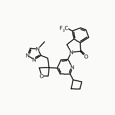 Cn1cnnc1CC1(c2cc(C3CCC3)nc(N3Cc4c(cccc4C(F)(F)F)C3=O)c2)COC1